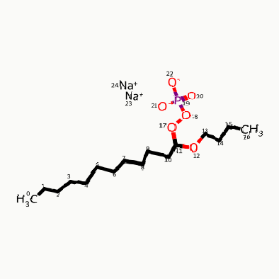 CCCCCCCCCCCC(OCCCC)OOP(=O)([O-])[O-].[Na+].[Na+]